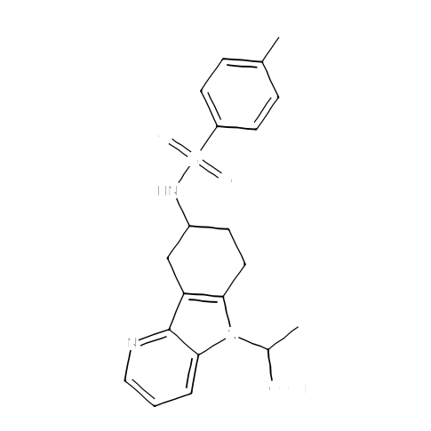 CC(C(=O)O)n1c2c(c3ncccc31)CC(NS(=O)(=O)c1ccc(F)cc1)CC2